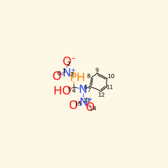 O=[N+]([O-])PC(O)N(c1ccccc1)[N+](=O)[O-]